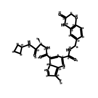 C[C@H](NC(=O)c1cc(C(=O)NCc2ccc3c(c2)NC(=O)CO3)nc2c(F)cnn12)C(=O)NC1CCC1